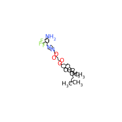 CC(C)CCCC(C)C1CCC2C3CC=C4CC(OC(=O)CCC(=O)OCCN5CCN(Cc6ccc(N)cc6C(F)(F)F)CC5)CCC4(C)C3CCC12C